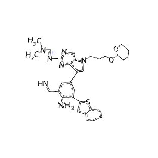 CN(C)/C=N/c1ncc2c(n1)c(-c1cc(C=N)c(N)c(-c3cc4ccccc4s3)c1)cn2CCCOC1CCCCO1